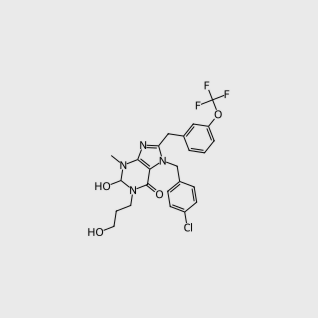 CN1c2nc(Cc3cccc(OC(F)(F)F)c3)n(Cc3ccc(Cl)cc3)c2C(=O)N(CCCO)C1O